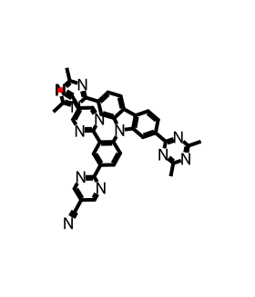 Cc1nc(C)nc(-c2ccc3c4ccc(-c5nc(C)nc(C)n5)cc4n(-c4ccc(-c5ncc(C#N)cn5)cc4-c4ncc(C#N)cn4)c3c2)n1